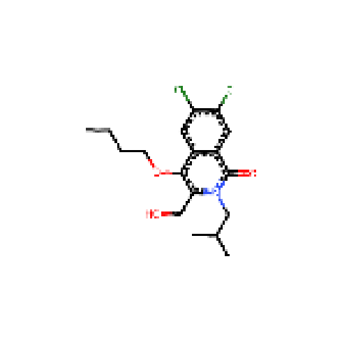 CCCCOc1c(CO)n(CC(C)C)c(=O)c2cc(Cl)c(Cl)cc12